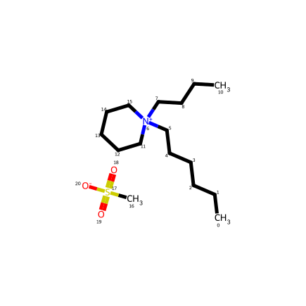 CCCCCC[N+]1(CCCC)CCCCC1.CS(=O)(=O)[O-]